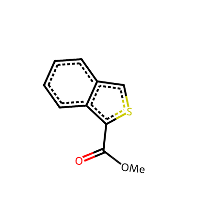 COC(=O)c1scc2ccccc12